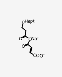 CCCCCCCCCC(=O)OC(=O)/C=C/C(=O)[O-].[Na+]